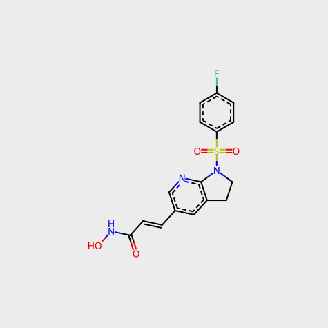 O=C(C=Cc1cnc2c(c1)CCN2S(=O)(=O)c1ccc(F)cc1)NO